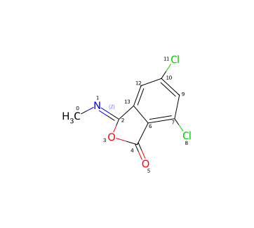 C/N=C1\OC(=O)c2c(Cl)cc(Cl)cc21